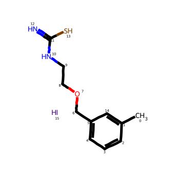 Cc1cccc(COCCNC(=N)S)c1.I